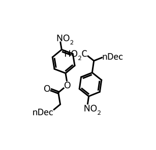 CCCCCCCCCCC(C(=O)O)c1ccc([N+](=O)[O-])cc1.CCCCCCCCCCCC(=O)Oc1ccc([N+](=O)[O-])cc1